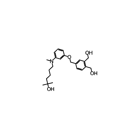 CN(CCCCC(C)(C)O)c1cccc(OCc2ccc(CO)c(CO)c2)c1